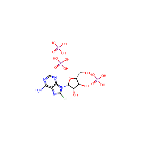 Nc1ncnc2c1nc(Cl)n2[C@@H]1O[C@H](CO)[C@@H](O)[C@H]1O.O=P(O)(O)O.O=P(O)(O)O.O=P(O)(O)O